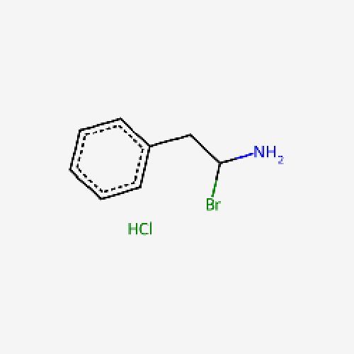 Cl.NC(Br)Cc1ccccc1